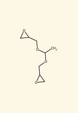 [CH2]C(OCC1CO1)OCC1CO1